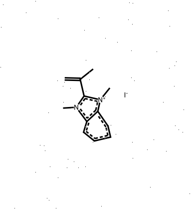 C=C(C)c1n(C)c2ccccc2[n+]1C.[I-]